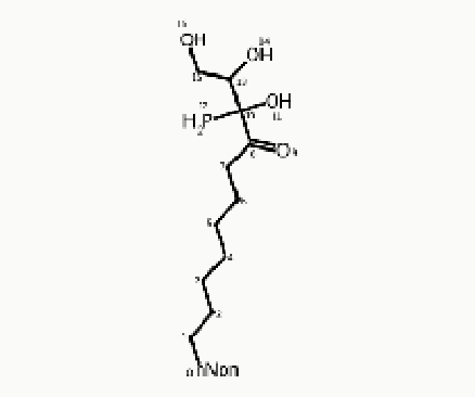 CCCCCCCCCCCCCCCCC(=O)C(O)(P)C(O)CO